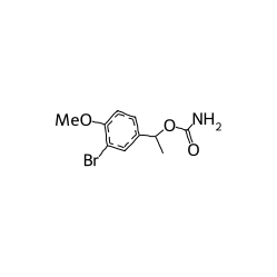 COc1ccc(C(C)OC(N)=O)cc1Br